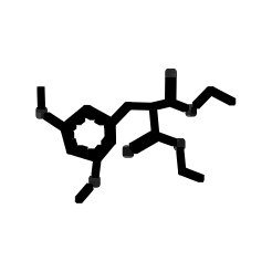 CCOC(=O)C(Cc1cc(OC)cc(OC)c1)C(=O)OCC